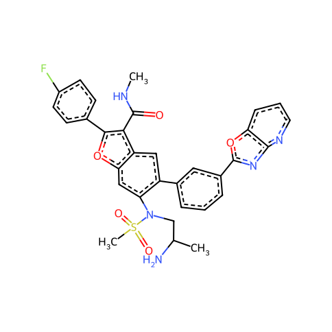 CNC(=O)c1c(-c2ccc(F)cc2)oc2cc(N(CC(C)N)S(C)(=O)=O)c(-c3cccc(-c4nc5ncccc5o4)c3)cc12